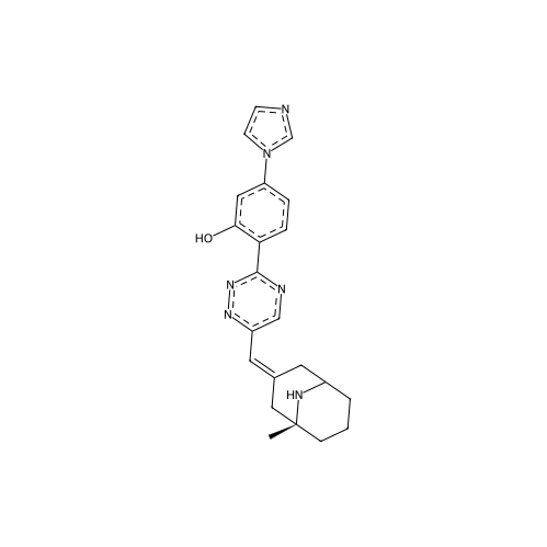 C[C@@]12CCCC(C/C(=C\c3cnc(-c4ccc(-n5ccnc5)cc4O)nn3)C1)N2